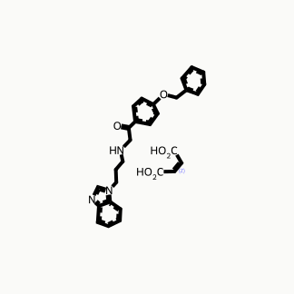 O=C(CNCCCn1cnc2ccccc21)c1ccc(OCc2ccccc2)cc1.O=C(O)/C=C\C(=O)O